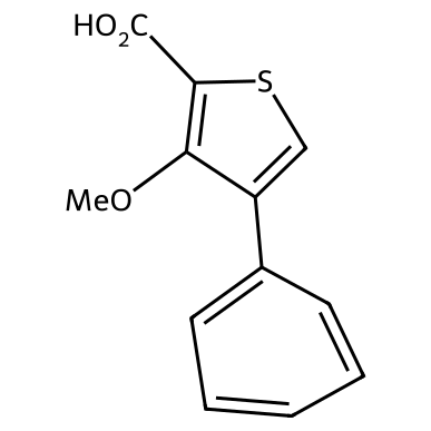 COc1c(-c2ccccc2)csc1C(=O)O